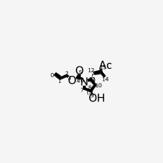 C=CCOC(=O)N1C[C@@H](O)C[C@H]1C=C(C)C(C)=O